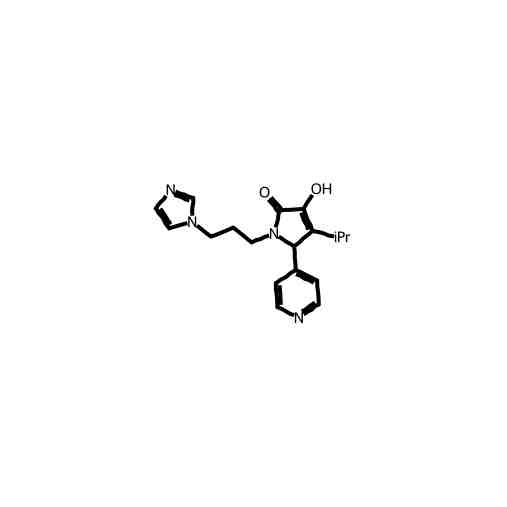 CC(C)C1=C(O)C(=O)N(CCCn2ccnc2)C1c1ccncc1